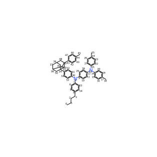 CCCCc1ccc(N(c2ccc(N(c3ccc(C)cc3)c3ccc(C)cc3)cc2)c2ccc(C34CC5CC(CC(c6ccc(C)cc6)(C5)C3)C4)cc2)cc1